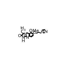 COc1c(OCCCn2ccnc2)ccc2c1CN1C(=N2)NC(=O)C1C